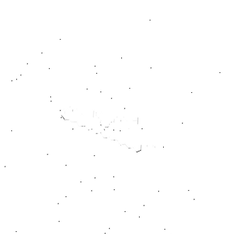 CCCCCCCC/C=C\CCCCCCCCC(CCCCCCCC/C=C\CCCCCCCC)N(CCO)CCC(=O)O